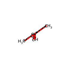 CCCCCCCCCCCCCCCCCCc1cc(Sc2ccc(O)cc2)cc(S(=O)(=O)CCCCCCCCCCCCC)c1